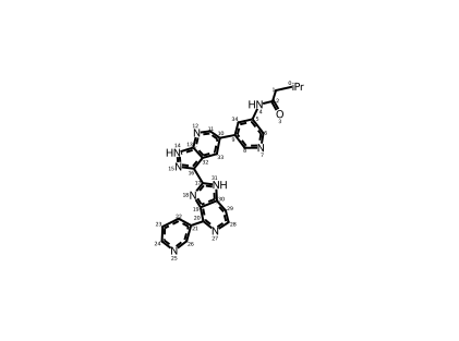 CC(C)CC(=O)Nc1cncc(-c2cnc3[nH]nc(-c4nc5c(-c6cccnc6)nccc5[nH]4)c3c2)c1